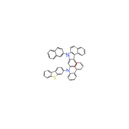 c1ccc(-c2ccccc2N(c2ccc3c(c2)sc2ccccc23)c2ccc3c4c5ccccc5ccc4n(-c4ccc5ccccc5c4)c3c2)cc1